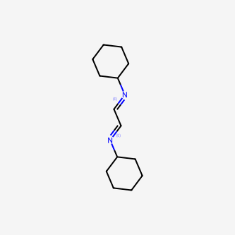 C(/C=N/C1CCCCC1)=N\C1CCCCC1